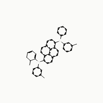 Cc1cccc(N(C2=CC=CCC2C)c2ccc3ccc4c(N(c5ccccc5)c5cccc(C)c5)ccc5ccc2c3c54)c1